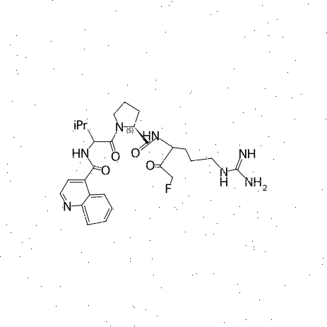 CC(C)C(NC(=O)c1ccnc2ccccc12)C(=O)N1CCC[C@H]1C(=O)NC(CCCNC(=N)N)C(=O)CF